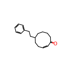 O=C1C=CCCC(CCc2ccccc2)CCCC1